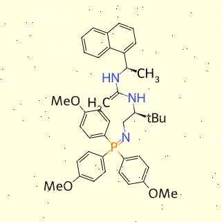 C=C(N[C@H](C)c1cccc2ccccc12)N[C@H](CN=P(c1ccc(OC)cc1)(c1ccc(OC)cc1)c1ccc(OC)cc1)C(C)(C)C